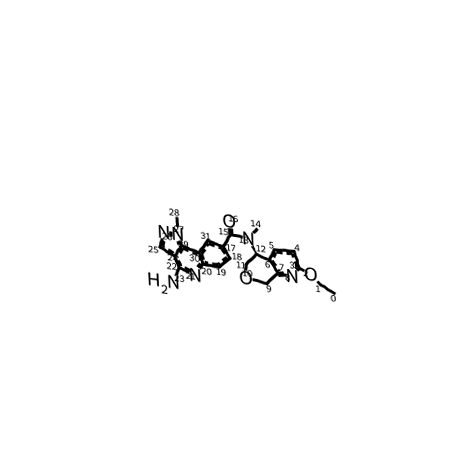 CCOc1ccc2c(n1)COC[C@H]2N(C)C(=O)c1ccc2nc(N)c3cnn(C)c3c2c1